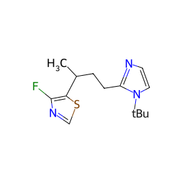 CC(CCc1nccn1C(C)(C)C)c1scnc1F